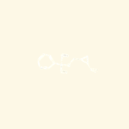 COC(OC)(OCC1CC1C(=O)O)c1ccccc1